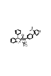 CN(C)c1cnccc1-c1ccc(NC(=O)C(N)C(c2ccccc2)c2ccccc2)cc1.Cl.Cl.Cl